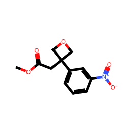 COC(=O)CC1(c2cccc([N+](=O)[O-])c2)COC1